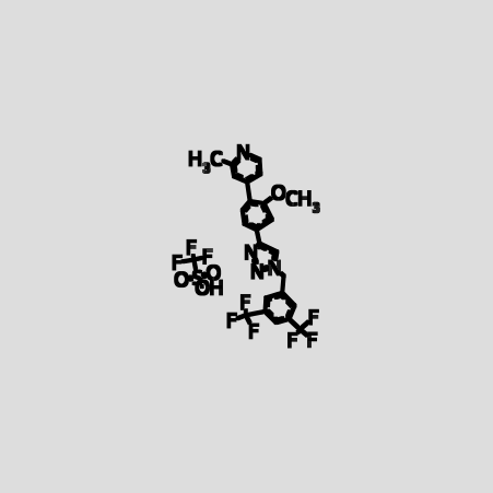 COc1cc(-c2cn(Cc3cc(C(F)(F)F)cc(C(F)(F)F)c3)nn2)ccc1-c1ccnc(C)c1.O=S(=O)(O)C(F)(F)F